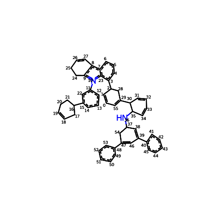 C1=CC(c2cccc3c4c(n(-c5cccc(C6CC=CCC6)c5)c23)CCC=C4)CC(C2C=CC=CC2NC2C=C(c3ccccc3)C=C(c3ccccc3)C2)=C1